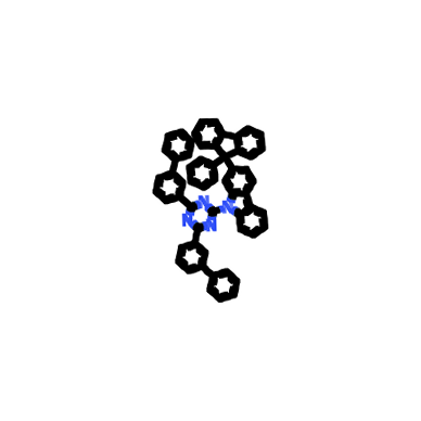 c1ccc(-c2cccc(-c3nc(-c4cccc(-c5ccccc5)c4)nc(-n4c5ccccc5c5ccc(C6(c7ccccc7)c7ccccc7-c7ccccc76)cc54)n3)c2)cc1